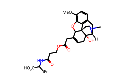 COc1ccc2c3c1OC1C(CC(=O)OCCC(=O)NC(C(=O)O)C(C)C)=CC[C@@]4(O)[C@@H](C2)N(C)CC[C@]314